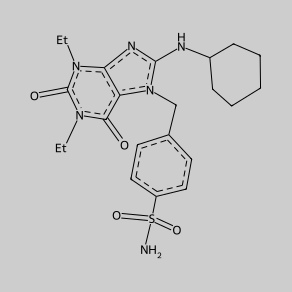 CCn1c(=O)c2c(nc(NC3CCCCC3)n2Cc2ccc(S(N)(=O)=O)cc2)n(CC)c1=O